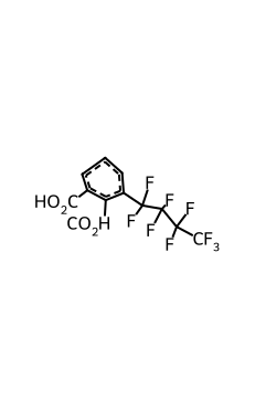 O=C(O)c1cccc(C(F)(F)C(F)(F)C(F)(F)C(F)(F)F)c1C(=O)O